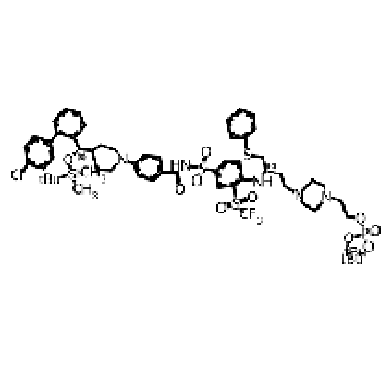 CC(C)(C)OP(=O)(OCCN1CCN(CC[C@H](CSc2ccccc2)Nc2ccc(S(=O)(=O)NC(=O)c3ccc(N4CCC([C@@H](O[Si](C)(C)C(C)(C)C)c5ccccc5-c5ccc(Cl)cc5)CC4)cc3)cc2S(=O)(=O)C(F)(F)F)CC1)OC(C)(C)C